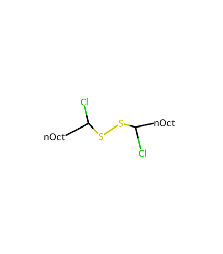 CCCCCCCCC(Cl)SSC(Cl)CCCCCCCC